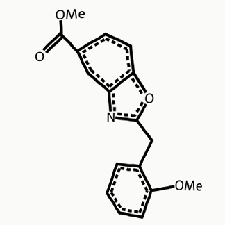 COC(=O)c1ccc2oc(Cc3ccccc3OC)nc2c1